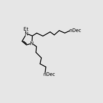 CCCCCCCCCCCCCCCCC1N(CC)C=CN1CCCCCCCCCCCCCCC